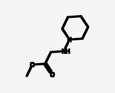 COC(=O)CNN1CCCCC1